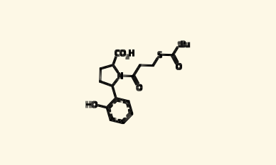 CC(C)(C)C(=O)SCCC(=O)N1C(C(=O)O)CCC1c1ccccc1O